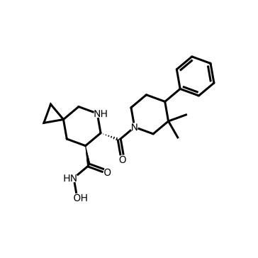 CC1(C)CN(C(=O)[C@H]2NCC3(CC3)C[C@@H]2C(=O)NO)CCC1c1ccccc1